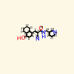 N#C/C(=C\c1ccc(O)c2c1CCCC2)C(=O)NCc1cccnc1